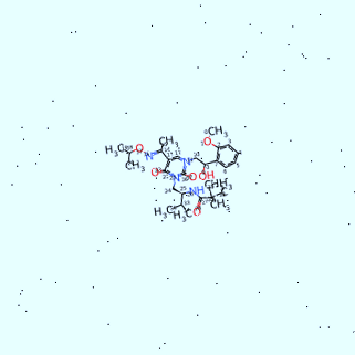 COc1ccccc1C(O)Cn1cc(/C(C)=N/OC(C)C)c(=O)n(C[C@@H](NC(=O)C(C)(C)C)C(C)C)c1=O